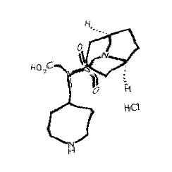 Cl.O=C(O)N[C@H]1C[C@H]2CC[C@@H](C1)N2S(=O)(=O)CC1CCNCC1